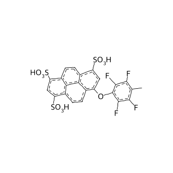 Cc1c(F)c(F)c(Oc2cc(S(=O)(=O)O)c3ccc4c(S(=O)(=O)O)cc(S(=O)(=O)O)c5ccc2c3c54)c(F)c1F